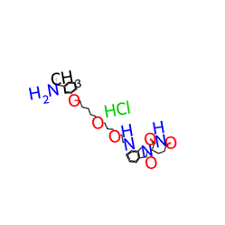 C[C@@H](N)c1cccc(OCCCCCOCCCOCCNc2cccc3c2CN(C2CCC(=O)NC2=O)C3=O)c1.Cl